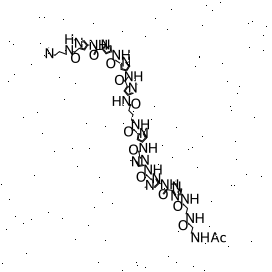 CC(=O)NCCC(=O)NCCC(=O)Nc1cn(C)c(C(=O)Nc2cn(C)c(C(=O)Nc3cn(C)c(C(=O)Nc4cc(C(=O)NCCCC(=O)Nc5cc(C(=O)Nc6cc(C(=O)Nc7cc(C(=O)Nc8cc(C(=O)NCCCN(C)C)n(C)c8)n(C)c7)n(C)c6)n(C)c5)n(C)c4)n3)n2)n1